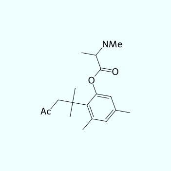 CNC(C)C(=O)Oc1cc(C)cc(C)c1C(C)(C)CC(C)=O